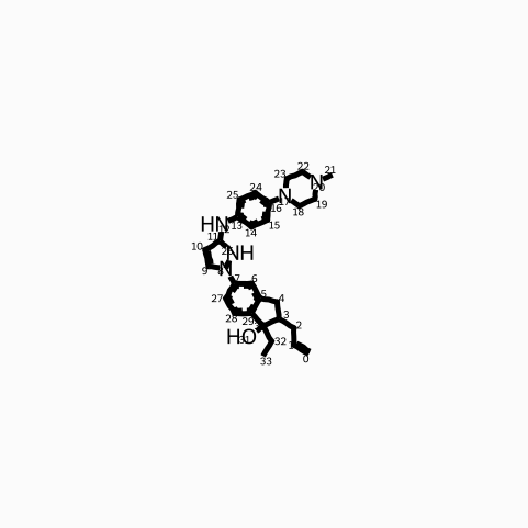 C=CCC1Cc2cc(N3C=CC(Nc4ccc(N5CCN(C)CC5)cc4)N3)ccc2C1(O)CC